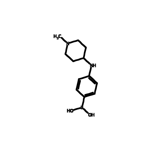 CN1CCC(Nc2ccc(B(O)O)cc2)CC1